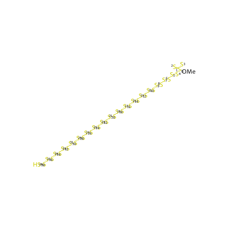 COS(=S)(=S)SSSSSSSSSSSSSSSSSSSSSSSSSSSSSSSSSSSS